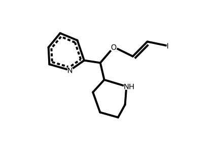 I/C=C/OC(c1ccccn1)C1CCCCN1